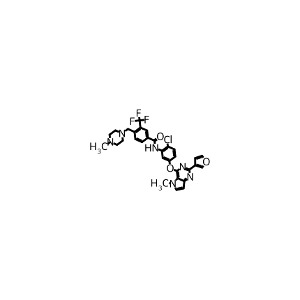 CN1CCN(Cc2ccc(C(=O)Nc3cc(Oc4nc(-c5ccoc5)nc5ccn(C)c45)ccc3Cl)cc2C(F)(F)F)CC1